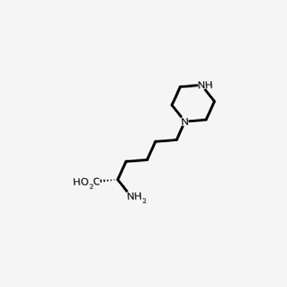 N[C@@H](CCCCN1CCNCC1)C(=O)O